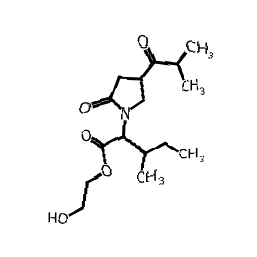 CCC(C)C(C(=O)OCCO)N1CC(C(=O)C(C)C)CC1=O